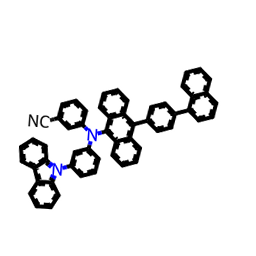 N#Cc1cccc(N(c2cccc(-n3c4ccccc4c4ccccc43)c2)c2c3ccccc3c(-c3ccc(-c4cccc5ccccc45)cc3)c3ccccc23)c1